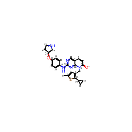 Cc1cc(Cn2c(=O)ccc3cnc(Nc4ccc(OC5CCNC5)cc4)nc32)c(C2CC2)s1